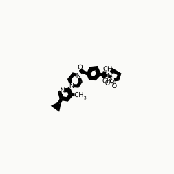 Cc1cc(C2CC2)cnc1N1CCN(C(=O)c2ccc(C(C)(C)N3CCCS3(=O)=O)cc2)CC1